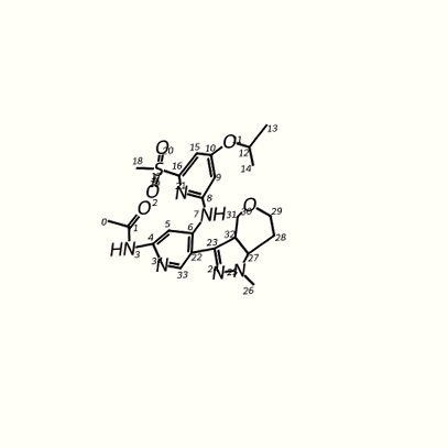 CC(=O)Nc1cc(Nc2cc(OC(C)C)cc(S(C)(=O)=O)n2)c(C2=NN(C)C3CCOCC23)cn1